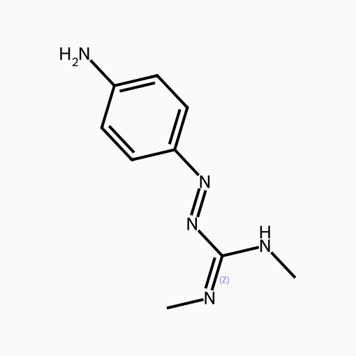 C/N=C(\N=Nc1ccc(N)cc1)NC